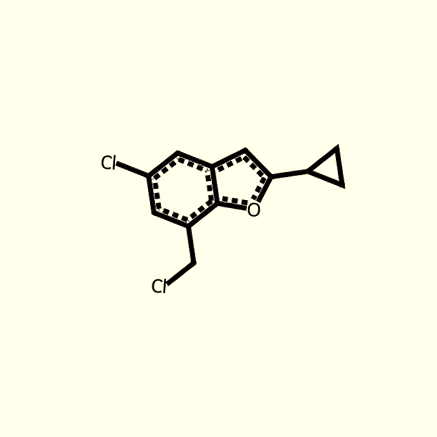 ClCc1cc(Cl)cc2cc(C3CC3)oc12